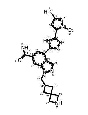 CCn1nc(C)cc1-c1nnc(-c2cc(C(N)=O)cc3c2cnn3CC2CC3(CNC3)C2)[nH]1